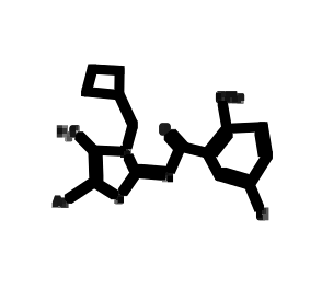 COc1ccc(Cl)cc1C(=O)N=c1sc(C(C)=O)c(C)n1CC1CCC1